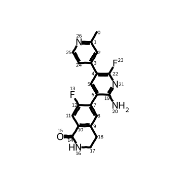 Cc1cc(-c2cc(-c3cc4c(cc3F)C(=O)NCC4)c(N)nc2F)ccn1